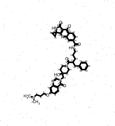 CN(C)CCCOc1ccc2c(=O)n(CC3(O)CCN(C(=O)C(CCCNC(=O)c4ccc5c(Cl)c6c(nc5c4)C4(CC4)NC6=O)Cc4ccccc4)CC3)cnc2c1